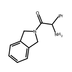 CC(C)C(N)C(=O)N1Cc2ccccc2C1